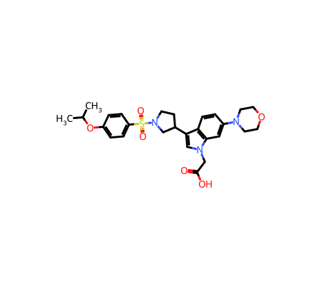 CC(C)Oc1ccc(S(=O)(=O)N2CCC(c3cn(CC(=O)O)c4cc(N5CCOCC5)ccc34)C2)cc1